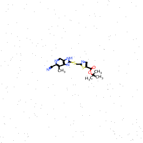 Cc1c(C#N)ncc2[nH]c(SCc3ncc(C(=O)OC(C)(C)C)s3)nc12